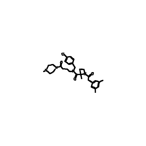 Cc1cc(C)cc(CC(=O)N2CCC2(C)C(=O)N(CCCC(=O)N2CCN(C)CC2)Cc2ccc(Cl)cc2)c1